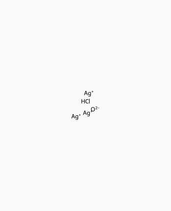 Cl.[Ag+].[Ag+].[Ag+].[O-2]